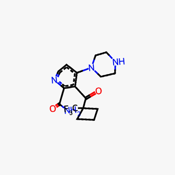 NC(=O)c1nccc(N2CCNCC2)c1C(=O)C1(C(F)(F)F)CCC1